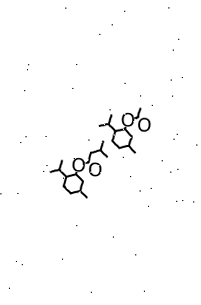 CC(=O)OC1CC(C)CCC1C(C)C.CC(C)CC(=O)OC1CC(C)CCC1C(C)C